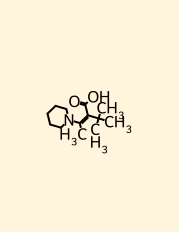 CC(=C(C(=O)O)C(C)(C)C)N1CCCCC1